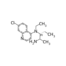 CC[C@H](C(C)N)N(CC)c1ccnc2cc(Cl)ccc12